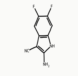 N#Cc1c(N)[nH]c2cc(F)c(F)cc12